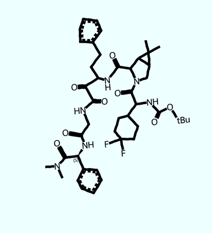 CN(C)C(=O)[C@@H](NC(=O)CNC(=O)C(=O)C(CCc1ccccc1)NC(=O)C1C2C(CN1C(=O)C(NC(=O)OC(C)(C)C)C1CCC(F)(F)CC1)C2(C)C)c1ccccc1